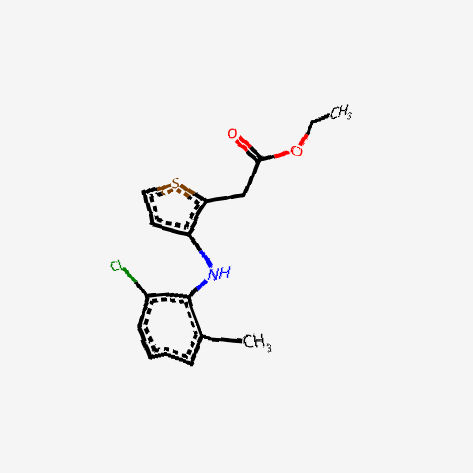 CCOC(=O)Cc1sccc1Nc1c(C)cccc1Cl